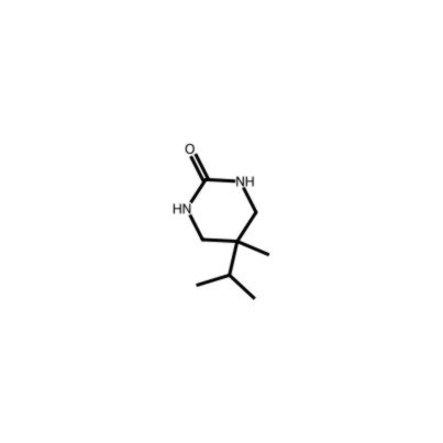 CC(C)C1(C)CNC(=O)NC1